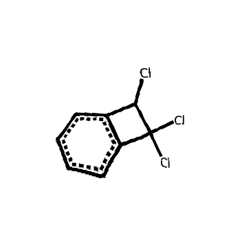 ClC1c2ccccc2C1(Cl)Cl